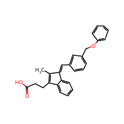 CC1=C(CCC(=O)O)c2ccccc2/C1=C\c1cccc(COc2ccccc2)c1